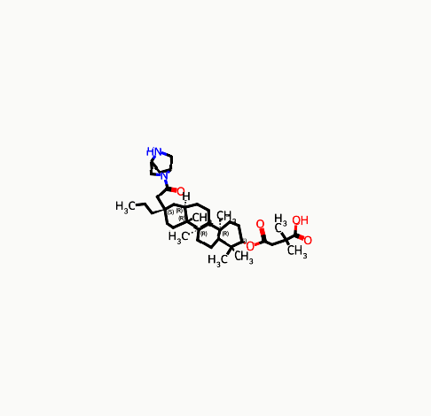 CCC[C@]1(CC(=O)N2CC3CC2CN3)CC[C@]2(C)[C@H](CCC3[C@@]4(C)CC[C@H](OC(=O)CC(C)(C)C(=O)O)C(C)(C)C4CC[C@]32C)C1